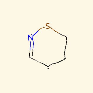 [C]1C=NSCC1